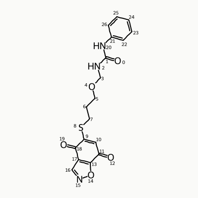 O=C(NCOCCCSC1=CC(=O)c2oncc2C1=O)Nc1ccccc1